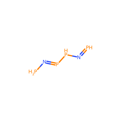 P=NPP=NP